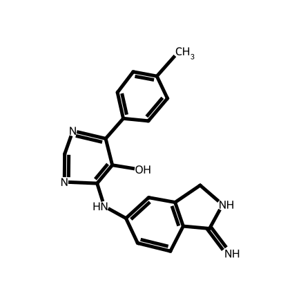 Cc1ccc(-c2ncnc(Nc3ccc4c(c3)CNC4=N)c2O)cc1